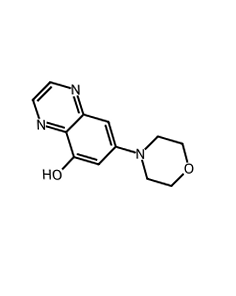 Oc1cc(N2CCOCC2)cc2nccnc12